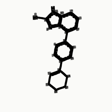 CCc1nc2c(-c3ccc(C4=CCCCC4)cc3)cccc2[nH]1